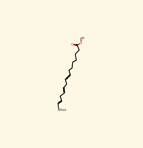 CCCCC/C=C/C/C=C/C/C=C/CCCCCCC(=O)OCCC